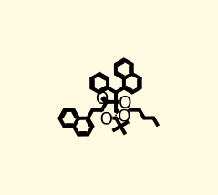 CCCCCOC([C]=O)(C(=O)C(Cc1cccc2ccccc12)OCC(C)(C)C)C(c1ccccc1)c1cccc2ccccc12